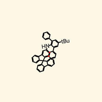 CC(C)(C)c1cc(-c2ccccc2)c(Nc2ccc3c(c2)-c2ccccc2C32c3ccccc3-c3ccccc32)c(-c2ccccc2)c1